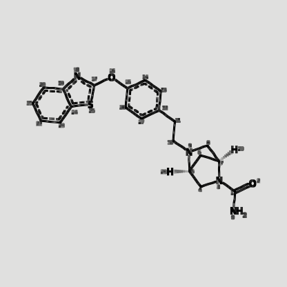 NC(=O)N1C[C@@H]2C[C@H]1CN2CCc1ccc(Oc2nc3ccccc3s2)cc1